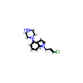 ClC=CCn1ccc2c(N3CCNCC3)cccc21